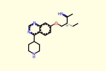 CC[C@H](COc1ccc2c(C3CCNCC3)ncnc2c1)C(C)=N